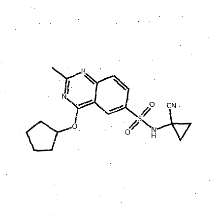 Cc1nc(OC2CCCC2)c2cc(S(=O)(=O)NC3(C#N)CC3)ccc2n1